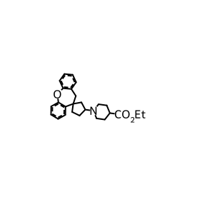 CCOC(=O)C1CCN(C2CCC3(Cc4ccccc4Oc4ccccc43)C2)CC1